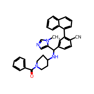 Cn1cncc1C(NC1CCN(C(=O)c2ccccc2)CC1)c1ccc(C#N)c(-c2cccc3ccccc23)c1